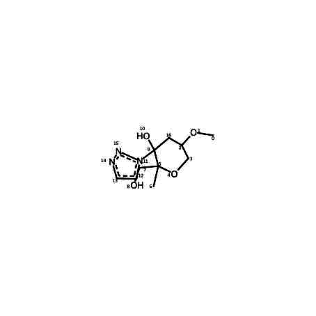 COC1COC(C)(CO)C(O)(n2ccnn2)C1